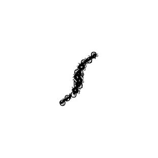 COCCOCCOc1ccc(-c2nc3c(ccc4c3ccc3oc(-c5ccc(OCCOCCOC)cc5)nc34)o2)cc1